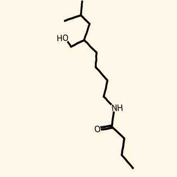 CCCC(=O)NCCCCC(CO)CC(C)C